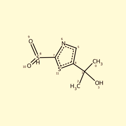 CC(C)(O)c1cnc([SH](=O)=O)s1